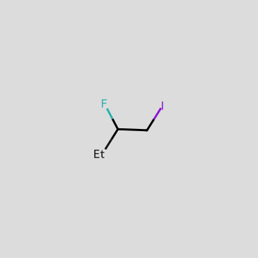 CCC(F)CI